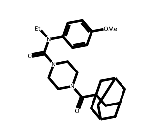 CCN(C(=O)N1CCN(C(=O)C23CC4CC(CC(C4)C2)C3)CC1)c1ccc(OC)cc1